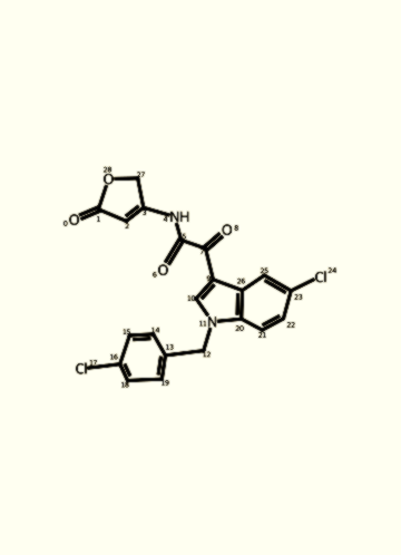 O=C1C=C(NC(=O)C(=O)c2cn(Cc3ccc(Cl)cc3)c3ccc(Cl)cc23)CO1